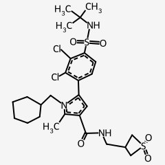 Cc1c(C(=O)NCC2CS(=O)(=O)C2)cc(-c2ccc(S(=O)(=O)NC(C)(C)C)c(Cl)c2Cl)n1CC1CCCCC1